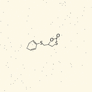 O=C1OC(CSC2=CCCC=C2)CS1